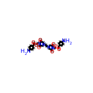 Nc1ccc(C(=O)OCN2C(=O)CN(CCN3CC(=O)N(COC(=O)c4ccc(N)cc4)C(=O)C3)CC2=O)cc1